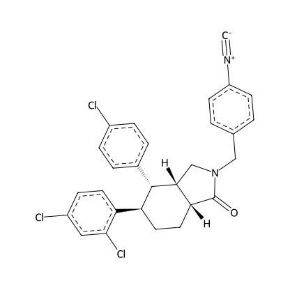 [C-]#[N+]c1ccc(CN2C[C@H]3[C@@H](c4ccc(Cl)cc4)[C@H](c4ccc(Cl)cc4Cl)CC[C@H]3C2=O)cc1